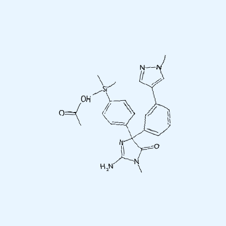 CC(=O)O.CN1C(=O)C(c2ccc([Si](C)(C)C)cc2)(c2cccc(-c3cnn(C)c3)c2)N=C1N